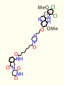 COc1cc(Nc2c(C#N)cnc3cc(OCCCN4CCN(C(=O)CCCCCCC(=O)Nc5cccc6c5CN(C5CCC(=O)NC5=O)C6=O)CC4)c(OC)cc23)c(Cl)cc1Cl